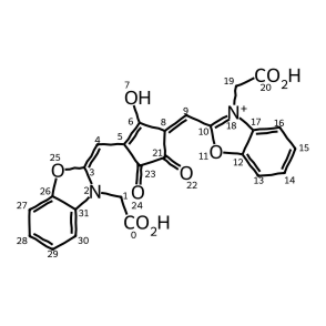 O=C(O)CN1/C(=C\C2=C(O)C(=C/c3oc4ccccc4[n+]3CC(=O)O)/C(=O)C2=O)Oc2ccccc21